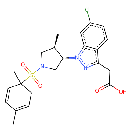 CC1=CCC(C)(S(=O)(=O)N2C[C@@H](C)[C@@H](n3nc(CC(=O)O)c4ccc(Cl)cc43)C2)C=C1